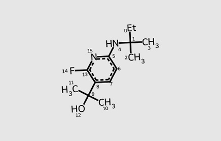 CCC(C)(C)Nc1ccc(C(C)(C)O)c(F)n1